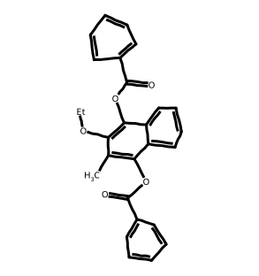 CCOc1c(C)c(OC(=O)c2ccccc2)c2ccccc2c1OC(=O)c1ccccc1